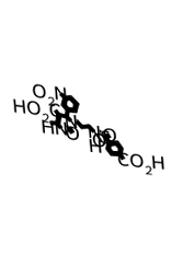 CC1=C(C(=O)O)C(c2cccc([N+](=O)[O-])c2)N(CCCNCS(=O)(=O)c2ccc(C(=O)O)cc2)C(=O)N1